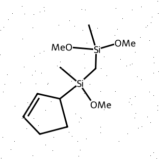 CO[Si](C)(C[Si](C)(OC)C1C=CCC1)OC